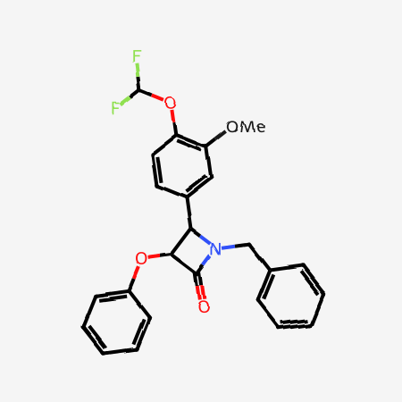 COc1cc(C2C(Oc3ccccc3)C(=O)N2Cc2ccccc2)ccc1OC(F)F